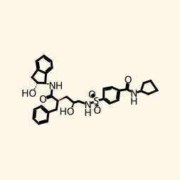 O=C(NC1CCCC1)c1ccc(S(=O)(=O)NC[C@@H](O)C[C@@H](Cc2ccccc2)C(=O)N[C@H]2c3ccccc3C[C@H]2O)cc1